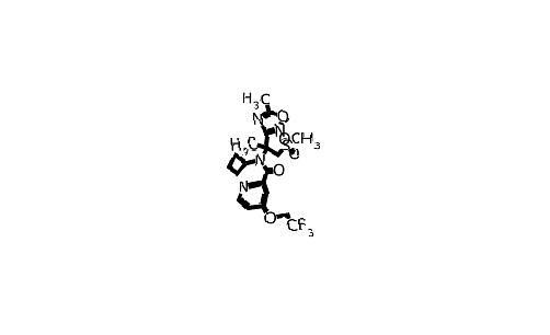 Cc1nc(C(C)(CS(C)(=O)=O)N(C(=O)c2cc(OCC(F)(F)F)ccn2)C2CCC2)no1